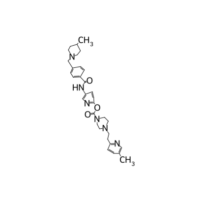 Cc1ccc(CCN2CCN(C(=O)Oc3ccc(NC(=O)c4ccc(CN5CCC(C)CC5)cc4)cn3)CC2)nc1